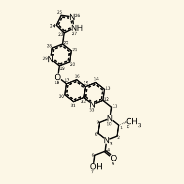 C[C@@H]1CN(C(=O)CO)CCN1Cc1ccc2cc(Oc3ccc(-c4ccn[nH]4)cn3)ccc2n1